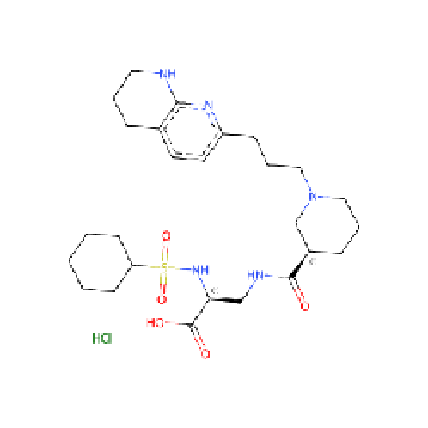 Cl.O=C(NC[C@H](NS(=O)(=O)C1CCCCC1)C(=O)O)[C@@H]1CCCN(CCCc2ccc3c(n2)NCCC3)C1